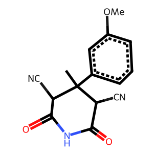 COc1cccc(C2(C)C(C#N)C(=O)NC(=O)C2C#N)c1